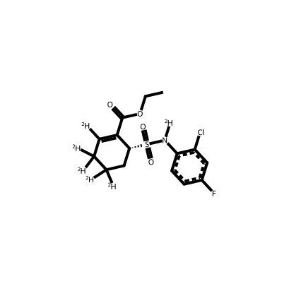 [2H]C1=C(C(=O)OCC)[C@H](S(=O)(=O)N([2H])c2ccc(F)cc2Cl)CC([2H])([2H])C1([2H])[2H]